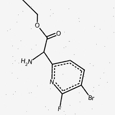 CCOC(=O)C(N)c1ccc(Br)c(F)n1